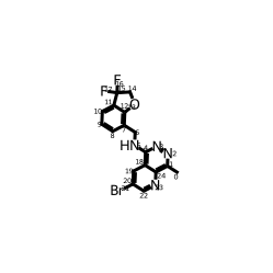 Cc1nnc(NCc2cccc3c2OCC3(F)F)c2cc(Br)cnc12